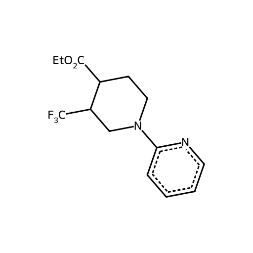 CCOC(=O)C1CCN(c2ccccn2)CC1C(F)(F)F